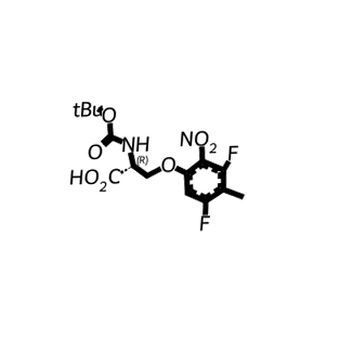 Cc1c(F)cc(OC[C@@H](NC(=O)OC(C)(C)C)C(=O)O)c([N+](=O)[O-])c1F